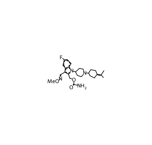 CON=Cc1c(COC(N)=O)n(C2CCN(C3CCC(=C(C)C)CC3)CC2)c2ccc(F)cc12